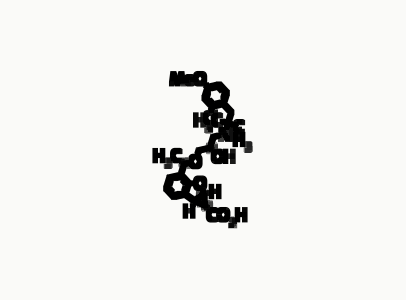 COc1ccc(CC(C)(C)NC[C@@H](O)CO[C@H](C)c2cccc3c2O[C@@H]2[C@@H](C(=O)O)[C@H]32)c(Cl)c1